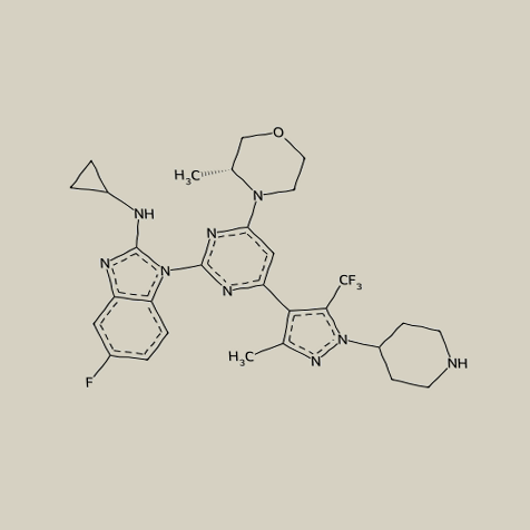 Cc1nn(C2CCNCC2)c(C(F)(F)F)c1-c1cc(N2CCOC[C@H]2C)nc(-n2c(NC3CC3)nc3cc(F)ccc32)n1